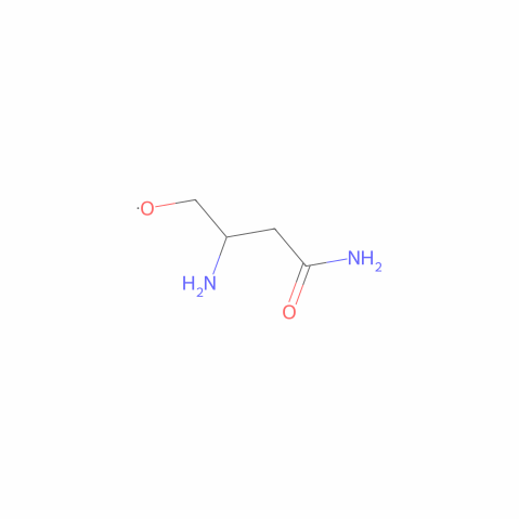 NC(=O)CC(N)C[O]